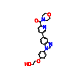 O=C(c1ccc(-c2ccc3c(c2)ncn3-c2ccc(OCCO)cc2)cn1)N1CCOCC1